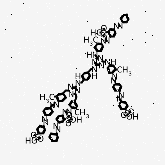 Cc1cc(Cc2nc(Cc3ccc(N=Nc4ccc(N=Nc5ccccc5)cc4S(=O)(=O)O)c(C)c3)nc(NCc3ccc(CNc4nc(Nc5ccc(N=Nc6ccc(N=Nc7ccc(S(=O)(=O)O)cc7)cc6)c(C)c5)nc(Nc5ccc(N=Nc6ccc(N=Nc7ccccc7)cc6S(=O)(=O)O)c(C)c5)n4)cc3)n2)ccc1N=Nc1ccc(N=Nc2ccc(S(=O)(=O)O)cc2)cc1